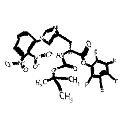 CC(C)(C)OC(=O)N[C@@H](Cc1cn(-c2cccc([N+](=O)[O-])c2[N+](=O)[O-])cn1)C(=O)Oc1c(F)c(F)c(F)c(F)c1F